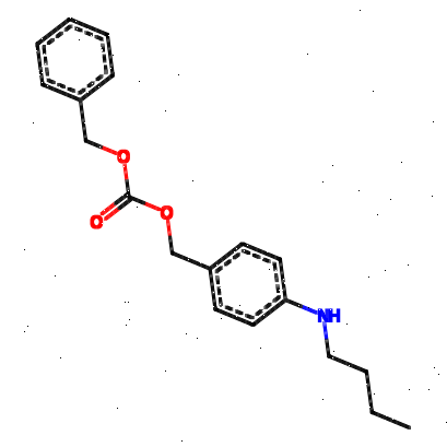 CCCCNc1ccc(COC(=O)OCc2ccccc2)cc1